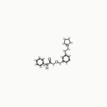 O=C(COCc1cccc(CCN2CCCC2)c1)Nc1ccccc1